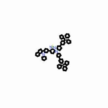 c1ccc(-n2c3cc(-c4ccc(N(c5ccc(-c6ccc([Si](c7ccccc7)(c7ccccc7)c7ccccc7)cc6)cc5)c5ccc(-c6ccc([Si](c7ccccc7)(c7ccccc7)c7ccccc7)cc6)cc5)c5nsnc45)ccc3c3ccc4ccccc4c32)cc1